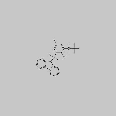 COc1c([Si](C)(C)C2c3ccccc3-c3ccccc32)cc(C)cc1[Si](C)(C)C(C)(C)C